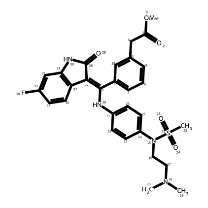 COC(=O)Cc1cccc(C(Nc2ccc(N(CCN(C)C)S(C)(=O)=O)cc2)=C2C(=O)Nc3cc(F)ccc32)c1